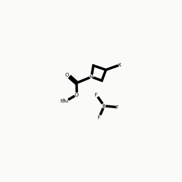 CC(C)(C)OC(=O)N1C[CH]([K])C1.FB(F)F